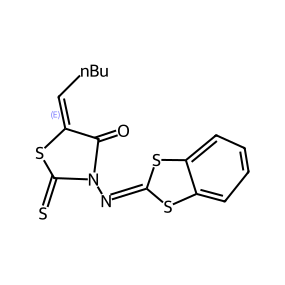 CCCC/C=C1/SC(=S)N(N=c2sc3ccccc3s2)C1=O